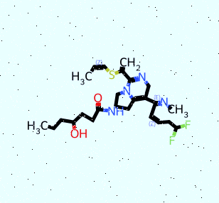 C=C(S/C=C\C)C1=NCC(C(/C=C\CC(F)F)=N/C)=C2CC(NC(=O)CCC(O)CCC)CN12